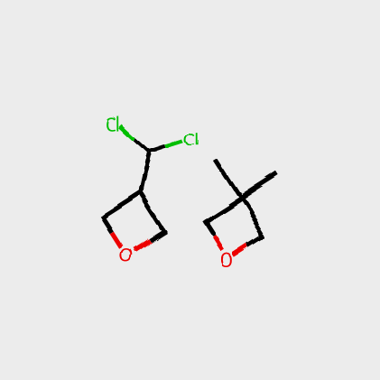 CC1(C)COC1.ClC(Cl)C1COC1